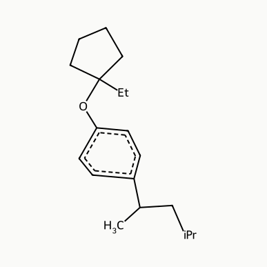 CCC1(Oc2ccc(C(C)CC(C)C)cc2)CCCC1